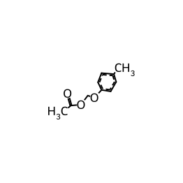 CC(=O)OCOc1ccc(C)cc1